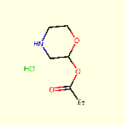 CCC(=O)OC1CNCCO1.Cl